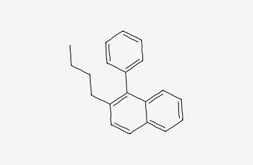 CCCCc1ccc2ccccc2c1-c1ccccc1